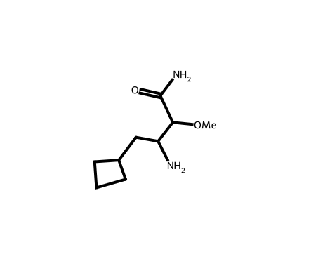 COC(C(N)=O)C(N)CC1CCC1